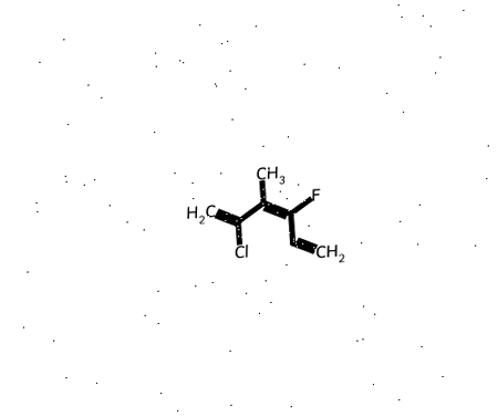 C=C/C(F)=C(/C)C(=C)Cl